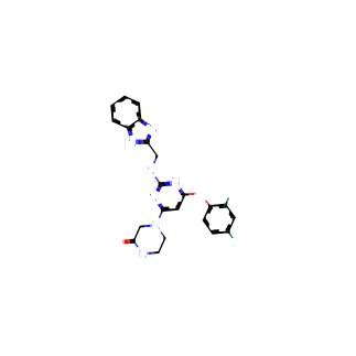 O=C1CN(c2cc(Oc3ccc(Cl)cc3Cl)nc(NCc3nc4ccccc4[nH]3)n2)CCN1